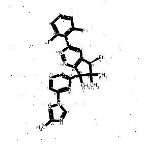 CC[C@@H]1c2cc(-c3c(F)cccc3F)nnc2C(C)(c2cncc(-n3cnc(C)n3)n2)C1(C)C